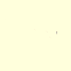 Cc1cc(C(F)(F)F)cc(O)c1-c1ccc2cn([C@]3(C)CCS(=O)(=O)C3)nc2n1